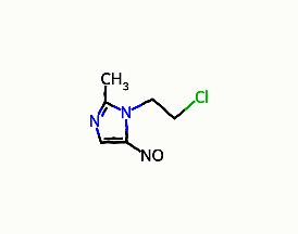 Cc1ncc(N=O)n1CCCl